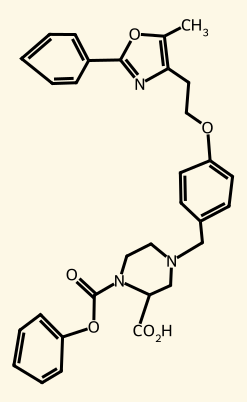 Cc1oc(-c2ccccc2)nc1CCOc1ccc(CN2CCN(C(=O)Oc3ccccc3)C(C(=O)O)C2)cc1